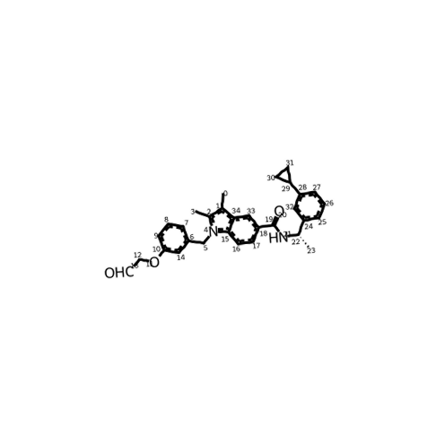 Cc1c(C)n(Cc2cccc(OCC=O)c2)c2ccc(C(=O)N[C@@H](C)c3cccc(C4CC4)c3)cc12